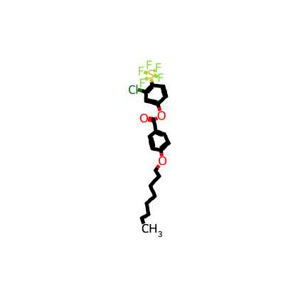 CCCCCCCCOc1ccc(C(=O)Oc2ccc(S(F)(F)(F)(F)F)c(Cl)c2)cc1